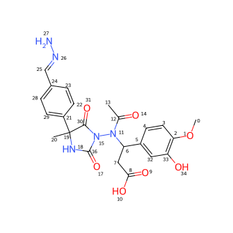 COc1ccc(C(CC(=O)O)N(C(C)=O)N2C(=O)NC(C)(c3ccc(C=NN)cc3)C2=O)cc1O